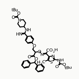 Cc1sc(NC(=O)OC(C)(C)C)nc1/C(=N/OC(COc1ccc(C(=N)NC2CCN(C(=O)OC(C)(C)C)CC2)cc1)C(=O)OC(c1ccccc1)c1ccccc1)C(=O)O